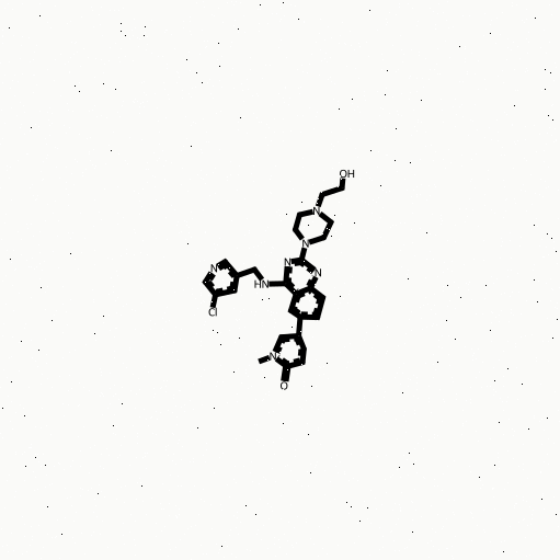 Cn1cc(-c2ccc3nc(N4CCN(CCO)CC4)nc(NCc4cncc(Cl)c4)c3c2)ccc1=O